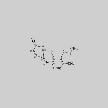 Cc1ccc2c(c1CCN)CC1=CC(=O)C=CC1=N2